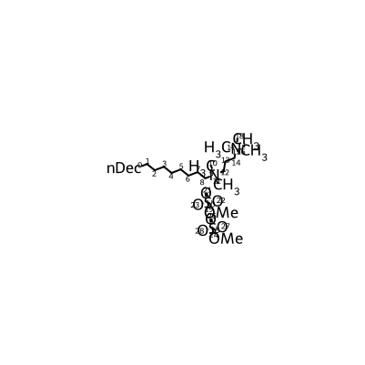 CCCCCCCCCCCCCCCCCC[N+](C)(C)CCC[N+](C)(C)C.COS(=O)(=O)[O-].COS(=O)(=O)[O-]